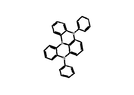 C1=CC(N2c3ccccc3B3c4ccccc4N(c4ccccc4)c4cccc2c43)=CCC1